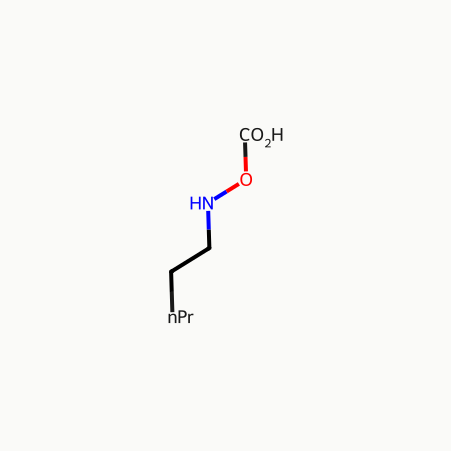 CCCCCNOC(=O)O